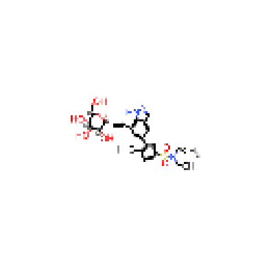 CCN(CC)S(=O)(=O)c1ccc(C)c(-c2cc(C#C[C@H]3O[C@H](CO)[C@@H](O)[C@H](O)[C@@H]3O)c3[nH]ncc3c2)c1